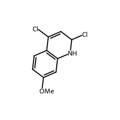 COc1ccc2c(c1)NC(Cl)C=C2Cl